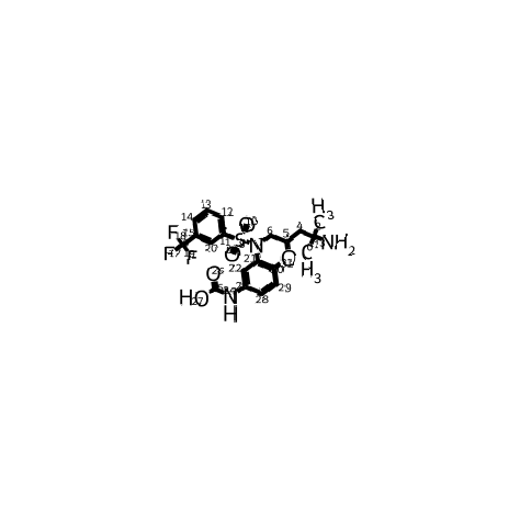 CC(C)(N)CC1CN(S(=O)(=O)c2cccc(C(F)(F)F)c2)c2cc(NC(=O)O)ccc2O1